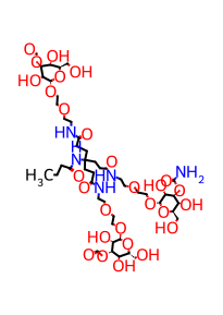 CCCC(=O)NC(CCC(=O)NCCOCCO[C@H]1O[C@H](CO)[C@@H](O)[C@H](OC=O)[C@@H]1O)(CCC(=O)NCCOCCO[C@H]1O[C@H](CO)[C@@H](O)[C@H](OC=O)[C@@H]1O)CCC(=O)NCCOCCO[C@H]1O[C@H](CO)[C@@H](O)[C@H](OC(N)=O)[C@@H]1O